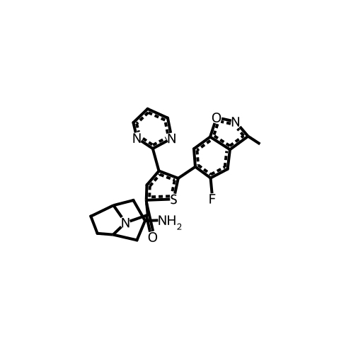 Cc1noc2cc(-c3sc(C(=O)N4C5CCC4CC(N)C5)cc3-c3ncccn3)c(F)cc12